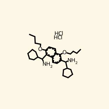 CCCCOc1ccc2c(OCCCC)c(C(N)C3CCCCC3)ccc2c1C(N)C1CCCCC1.Cl.Cl